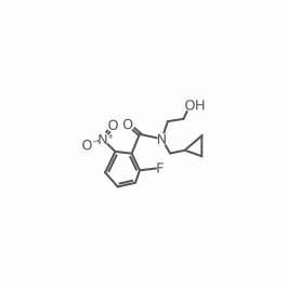 O=C(c1c(F)cccc1[N+](=O)[O-])N(CCO)CC1CC1